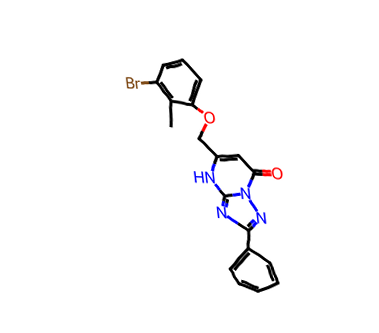 Cc1c(Br)cccc1OCc1cc(=O)n2nc(-c3ccccc3)nc2[nH]1